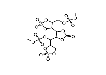 COS(=O)(=O)OCC1OS(=O)(=O)OC1C1OC(=O)OC1C(OS(=O)(=O)OC)C1COS(=O)(=O)O1